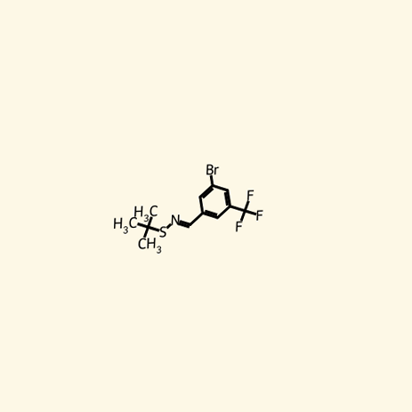 CC(C)(C)SN=Cc1cc(Br)cc(C(F)(F)F)c1